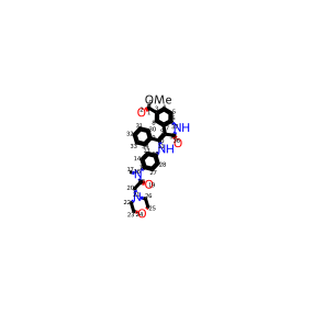 COC(=O)c1ccc2c(c1)/C(=C(/Nc1ccc(N(C)C(=O)CN3CCOCC3)cc1)c1ccccc1)C(=O)N2